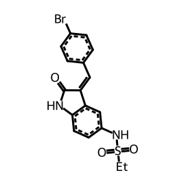 CCS(=O)(=O)Nc1ccc2c(c1)C(=Cc1ccc(Br)cc1)C(=O)N2